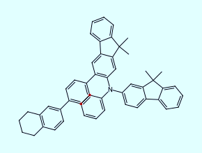 CC1(C)c2ccccc2-c2ccc(N(c3ccccc3)c3cc4c(cc3-c3ccc(-c5ccc6c(c5)CCCC6)cc3)-c3ccccc3C4(C)C)cc21